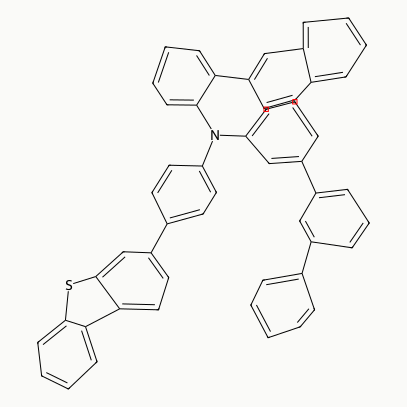 c1ccc(-c2cccc(-c3cccc(N(c4ccc(-c5ccc6c(c5)sc5ccccc56)cc4)c4ccccc4-c4ccc5ccccc5c4)c3)c2)cc1